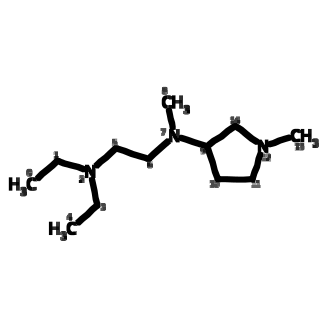 CCN(CC)CCN(C)C1CCN(C)C1